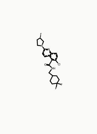 O=C(NCC1CCC(F)(F)CC1)c1c(Cl)ccc2nc(N3CC[C@@H](F)C3)ccc12